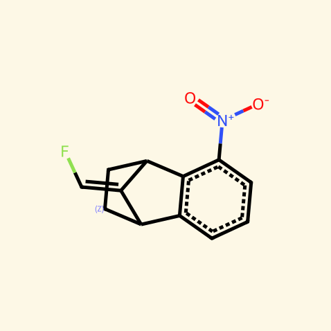 O=[N+]([O-])c1cccc2c1C1CCC2/C1=C/F